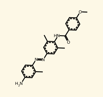 COc1ccc(C(=O)Nc2c(C)cc(N=Nc3ccc(N)cc3C)cc2C)cc1